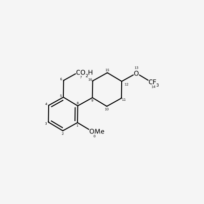 COc1cccc(CC(=O)O)c1C1CCC(OC(F)(F)F)CC1